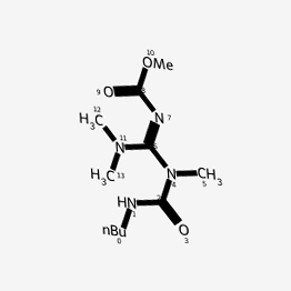 CCCCNC(=O)N(C)C(=NC(=O)OC)N(C)C